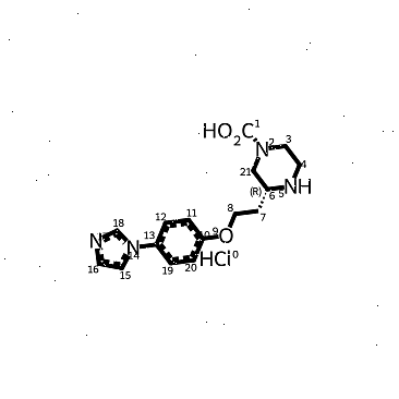 Cl.O=C(O)N1CCN[C@H](CCOc2ccc(-n3ccnc3)cc2)C1